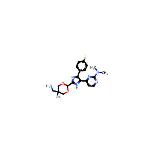 CN(C)c1nccc(-c2[nH]c(C3OCC(C)(CN)CO3)nc2-c2ccc(F)cc2)n1